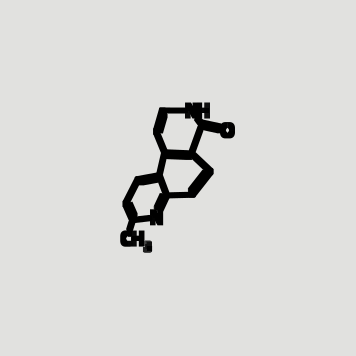 Cc1ccc2c(ccc3c(=O)[nH]ccc32)n1